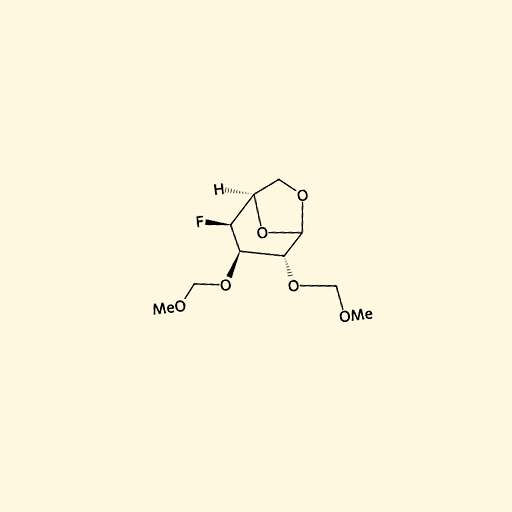 COCO[C@H]1[C@@H](F)[C@H]2COC(O2)[C@@H]1OCOC